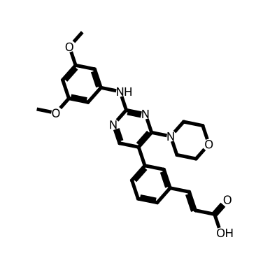 COc1cc(Nc2ncc(-c3cccc(/C=C/C(=O)O)c3)c(N3CCOCC3)n2)cc(OC)c1